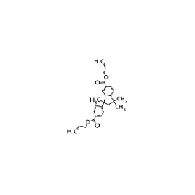 C=CCOC(=O)c1ccc(C2(C)CC(C)(C)c3ccc(C(=O)OCC=C)cc32)cc1